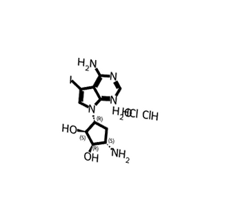 Cl.Cl.Nc1ncnc2c1c(I)cn2[C@@H]1C[C@H](N)[C@@H](O)[C@H]1O.O